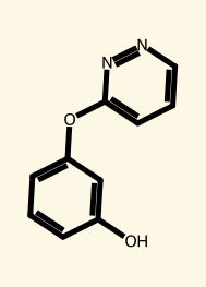 Oc1cccc(Oc2cccnn2)c1